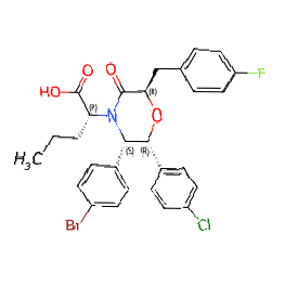 CCC[C@H](C(=O)O)N1C(=O)[C@@H](Cc2ccc(F)cc2)O[C@H](c2ccc(Cl)cc2)[C@@H]1c1ccc(Br)cc1